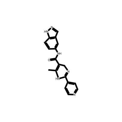 CC1=C(C(=O)Nc2ccc3[nH]ncc3c2)CN=C(c2ccncc2)N1